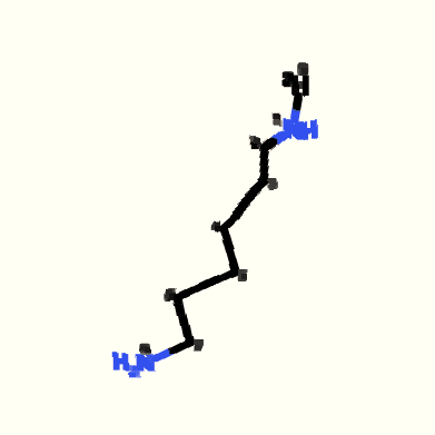 [2H]NCCCCCCN